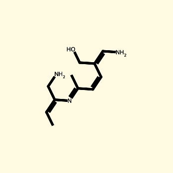 C\C=C(CN)/N=C(C)/C=C\C(=C/N)CO